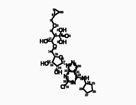 O=P(O)(O)C(COCC1CC1)[C@H](O)OC[C@H]1O[C@H](n2ncc3c(NC4CCCC4)nc(Cl)nc32)[C@H](O)[C@@H]1O